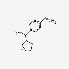 C=Cc1ccc(C(C)C2CCNC2)cc1